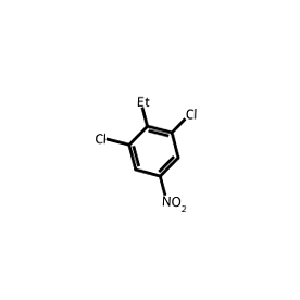 CCc1c(Cl)cc([N+](=O)[O-])cc1Cl